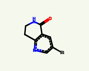 CCc1cnc2c(c1)C(=O)NCC2